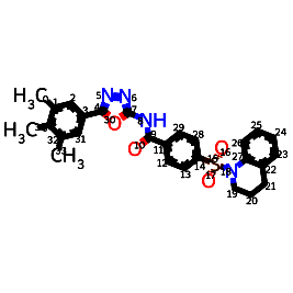 Cc1cc(-c2nnc(NC(=O)c3ccc(S(=O)(=O)N4CCCc5ccccc54)cc3)o2)cc(C)c1C